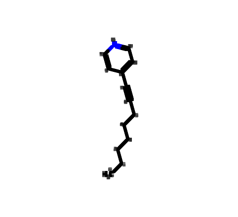 CCCCCCC#Cc1ccncc1